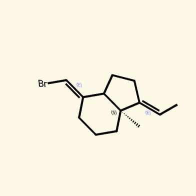 C/C=C1\CCC2/C(=C/Br)CCC[C@]12C